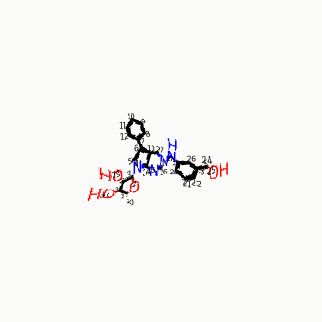 C[C@H]1O[C@@H](n2cc(-c3ccccc3)c3c2N=CN(Nc2cccc(CO)c2)C3)[C@H](O)[C@@H]1O